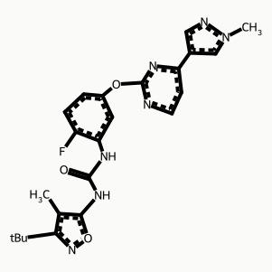 Cc1c(C(C)(C)C)noc1NC(=O)Nc1cc(Oc2nccc(-c3cnn(C)c3)n2)ccc1F